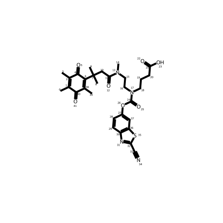 CC1=C(C)C(=O)C(C(C)(C)CC(=O)N(C)CCN(CCCC(=O)O)C(=O)Oc2ccc3nc(C#N)sc3c2)=C(C)C1=O